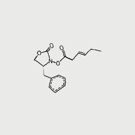 CCC=CCC(=O)ON1C(=O)OC[C@H]1Cc1ccccc1